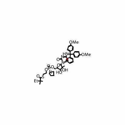 CCC(C)(C)C(=O)SCCOP(=O)(OC[C@H]1O[C@@H](n2ccc(NC(c3ccccc3)(c3ccc(OC)cc3)c3ccc(OC)cc3)nc2=O)C(C)(O)[C@H]1O)N1CCCC1